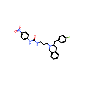 O=C(NCCCN1Cc2ccccc2CC1Cc1ccc(F)cc1)Nc1ccc([N+](=O)[O-])cc1